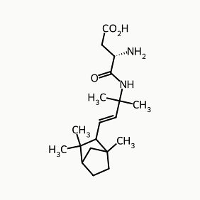 CC(C)(C=CC1C2(C)CCC(C2)C1(C)C)NC(=O)[C@@H](N)CC(=O)O